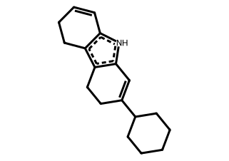 C1=Cc2[nH]c3c(c2CC1)CCC(C1CCCCC1)=C3